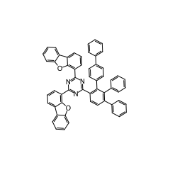 c1ccc(-c2ccc(-c3c(-c4nc(-c5cccc6c5oc5ccccc56)nc(-c5cccc6c5oc5ccccc56)n4)ccc(-c4ccccc4)c3-c3ccccc3)cc2)cc1